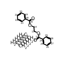 C=C.C=C.C=C.C=C.C=C.O=C(OCCOC(=O)c1ccccc1)c1ccccc1